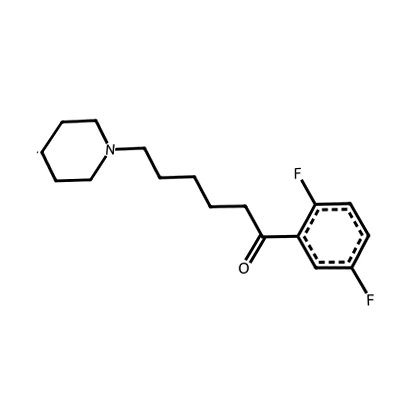 O=C(CCCCCN1CC[CH]CC1)c1cc(F)ccc1F